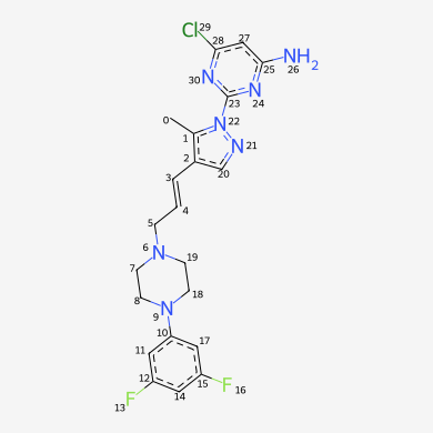 Cc1c(/C=C/CN2CCN(c3cc(F)cc(F)c3)CC2)cnn1-c1nc(N)cc(Cl)n1